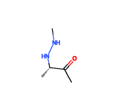 CNN[C@@H](C)C(C)=O